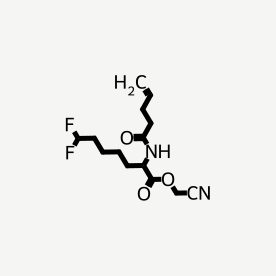 C=CCCC(=O)NC(CCCCC(F)F)C(=O)OCC#N